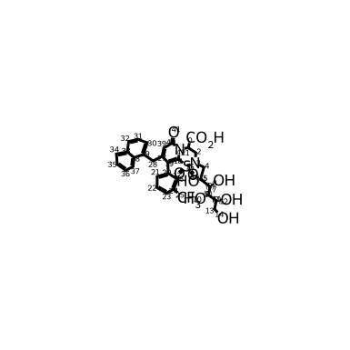 O=C(O)C1CN(C[C@H](O)[C@@H](O)[C@H](O)[C@H](O)CO)S(=O)(=O)c2c(-c3cccc(C(F)(F)F)c3)c(Cc3cccc4ccccc34)cc(=O)n21